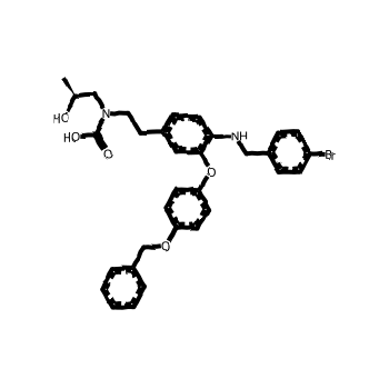 C[C@H](O)CN(CCc1ccc(NCc2ccc(Br)cc2)c(Oc2ccc(OCc3ccccc3)cc2)c1)C(=O)O